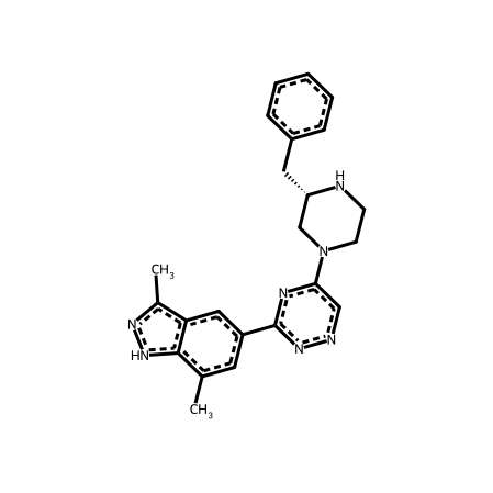 Cc1n[nH]c2c(C)cc(-c3nncc(N4CCN[C@@H](Cc5ccccc5)C4)n3)cc12